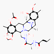 C/C=C/C(=O)N[C@@H](C)C(=O)NC[C@H]1c2c(c(OC(C)=O)c(C)c3c2OCO3)CC2[C@@H]3c4c(cc(C)c(OC)c4O)C[C@H]([C@H](O)N21)N3C